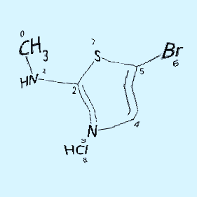 CNc1ncc(Br)s1.Cl